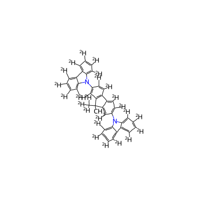 [2H]c1c([2H])c(-n2c3c([2H])c([2H])c([2H])c([2H])c3c3c([2H])c([2H])c([2H])c([2H])c32)c([2H])c2c1-c1c([2H])c([2H])c(-n3c4c([2H])c([2H])c([2H])c([2H])c4c4c([2H])c([2H])c([2H])c([2H])c43)c([2H])c1C2(C)C([2H])([2H])[2H]